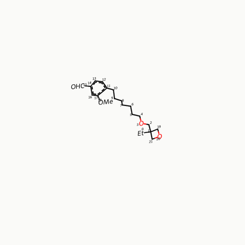 CCC1(COCCCCCCCc2ccc(C=O)cc2OC)COC1